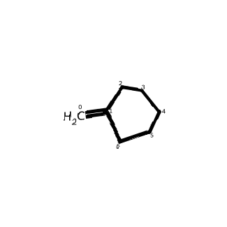 C=C1C[CH]CCC1